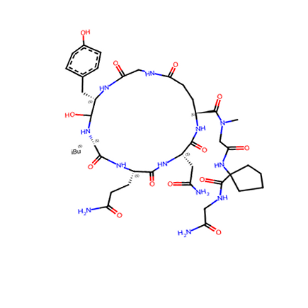 CC[C@H](C)[C@@H]1NC(O)[C@H](Cc2ccc(O)cc2)NC(=O)CNC(=O)CC[C@@H](C(=O)N(C)CC(=O)NC2(C(=O)NCC(N)=O)CCCC2)NC(=O)[C@H](CC(N)=O)NC(=O)[C@H](CCC(N)=O)NC1=O